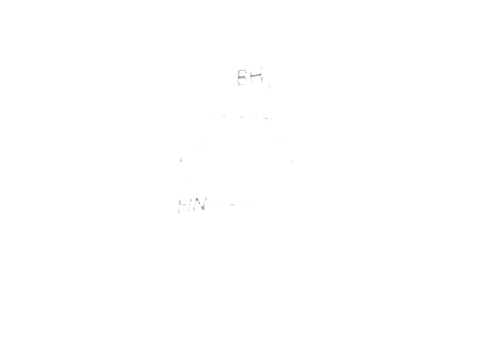 B.C1=CNC=CC1